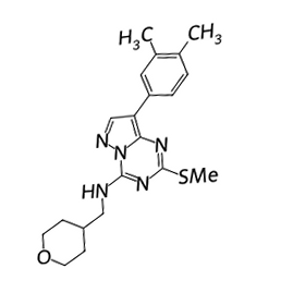 CSc1nc(NCC2CCOCC2)n2ncc(-c3ccc(C)c(C)c3)c2n1